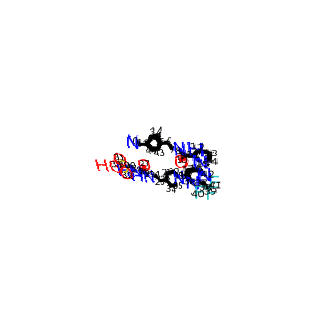 N#Cc1ccc(CCNC(=O)C2CCCN2c2cc(N3CCC(CCNC(=O)NCS(=O)(=O)O)CC3)nc(C(F)(F)F)n2)cc1